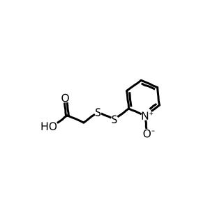 O=C(O)CSSc1cccc[n+]1[O-]